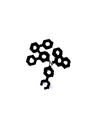 C/C=C\C(=C/C)c1ccc(N(c2ccc(-c3ccccc3-c3ccccc3)c(C3=CC=CCC3)c2)c2cc3ccccc3c3ccccc23)cc1